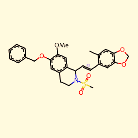 COc1cc2c(cc1OCc1ccccc1)CCN(S(C)(=O)=O)C2/C=C/c1cc2c(cc1C)OCO2